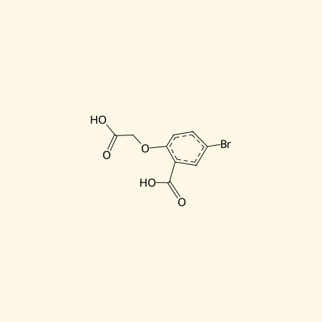 O=C(O)COc1ccc(Br)cc1C(=O)O